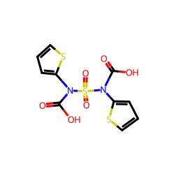 O=C(O)N(c1cccs1)S(=O)(=O)N(C(=O)O)c1cccs1